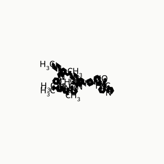 Cc1cccnc1[C@@H]1CCC[C@H](c2nc3c(CN4CCN(c5cccc6nc([C@H]7CCC[C@@H](c8ncccc8C)N7CCCO)cn56)CC4)ccc(N4CCN(C(C)Cc5ccc(N6CCN(C)CC6)n6cc([C@H]7CCC[C@@H](c8ncccc8C(C)C)N7C)nc56)CC4)n3c2CO)N1C